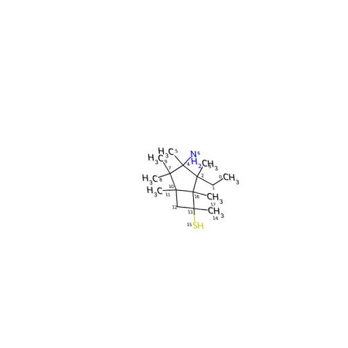 CCC1(C)C(C)(N)C(C)(C)C2(C)CC(C)(S)C21C